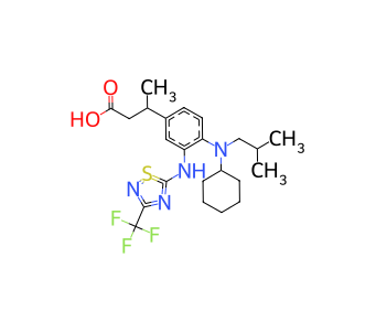 CC(C)CN(c1ccc(C(C)CC(=O)O)cc1Nc1nc(C(F)(F)F)ns1)C1CCCCC1